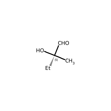 CC[C@](C)(O)C=O